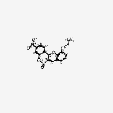 CCOc1cccc2c1OC(c1ccc([N+](=O)[O-])cc1)C([N+](=O)[O-])=C2